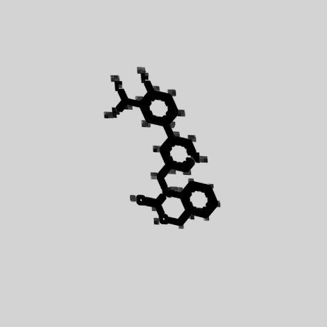 O=C1OCc2ccccc2N1Cc1cncc(-c2ccc(F)c(C(F)F)c2)c1